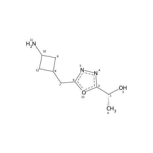 C[C@@H](O)c1nnc(CC2CC(N)C2)o1